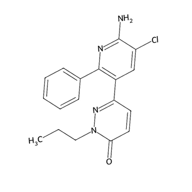 CCCn1nc(-c2cc(Cl)c(N)nc2-c2ccccc2)ccc1=O